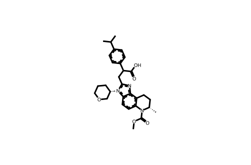 COC(=O)N1c2ccc3c(nc(CC(C(=O)O)c4ccc(C(C)C)cc4)n3[C@H]3CCCOC3)c2CC[C@@H]1C